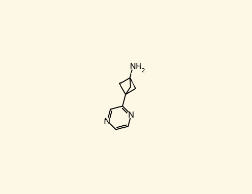 NC12CC(c3cnccn3)(C1)C2